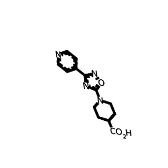 O=C(O)C1CCN(c2nc(-c3ccncc3)no2)CC1